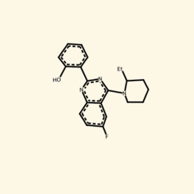 CCC1CCCCN1c1nc(-c2ccccc2O)nc2ccc(F)cc12